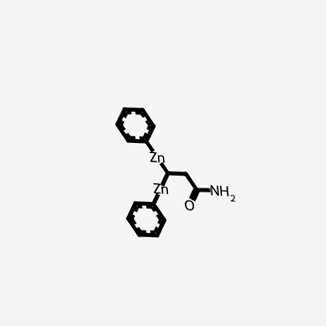 NC(=O)C[CH]([Zn][c]1ccccc1)[Zn][c]1ccccc1